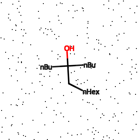 CCCCCCCC(O)(CCCC)CCCC